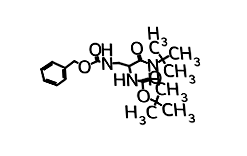 CC(C)(C)NC(=O)C(CNC(=O)OCc1ccccc1)NC(=O)OC(C)(C)C